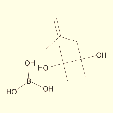 C=C(C)CC(C)(O)C(C)(C)O.OB(O)O